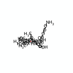 CCCO[C@H](CC(C(C)C)N(CCC)C(=O)[C@@H](NC(=O)[C@H]1CCCCN1C)[C@@H](C)CC)c1nc(C(=O)N[C@H]2Cc3ccc(O)cc3[C@H](C(=O)NNC(=O)OCCOCCOCCOCCN)C2)cs1